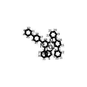 O=P1(c2ccccc2)c2ccccc2-c2ccc3c4ccccc4n(-c4cc(-c5ccccc5)nc(-c5ccc(-c6ccccc6)cc5)c4)c3c21